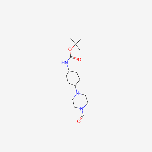 CC(C)(C)OC(=O)NC1CCC(N2CCN(C=O)CC2)CC1